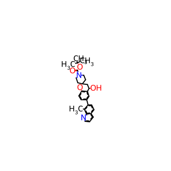 Cc1c(-c2ccc3c(c2)C(O)CC2(CCN(C(=O)OC(C)(C)C)CC2)O3)ccc2cccnc12